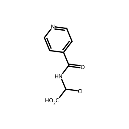 O=C(NC(Cl)C(=O)O)c1ccncc1